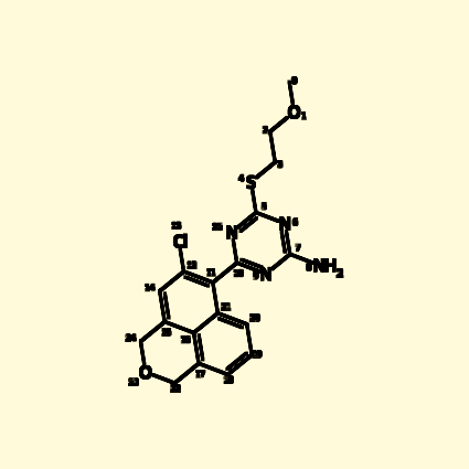 COCCSc1nc(N)nc(-c2c(Cl)cc3c4c(cccc24)COC3)n1